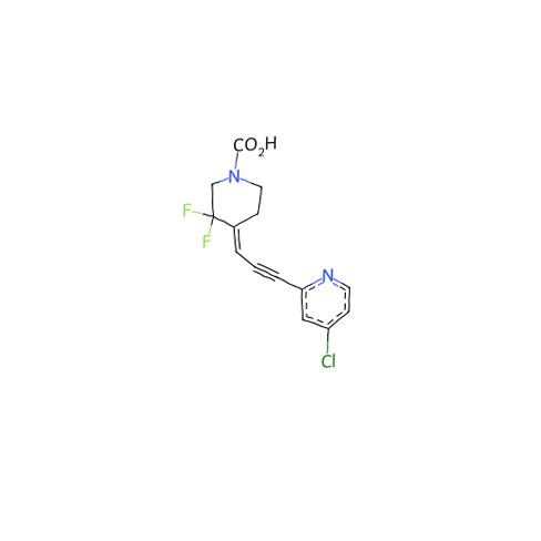 O=C(O)N1CC/C(=C\C#Cc2cc(Cl)ccn2)C(F)(F)C1